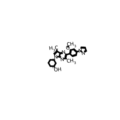 COc1cc(-n2cccn2)ccc1-c1nc2c(C)cn([C@H]3CCC[C@H](O)C3)c2nc1C